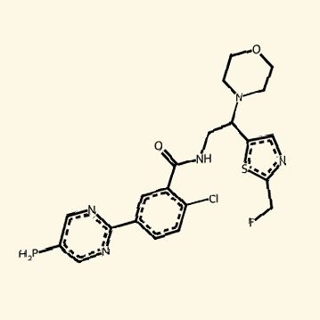 O=C(NCC(c1cnc(CF)s1)N1CCOCC1)c1cc(-c2ncc(P)cn2)ccc1Cl